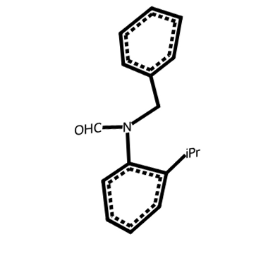 CC(C)c1ccccc1N(C=O)Cc1ccccc1